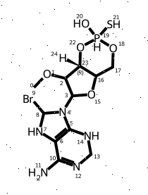 COC1C(N2C3=C(NC2Br)C(N)=NCN3)OC2CO[PH](O)(S)O[C@H]21